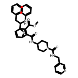 COC(=O)C1=C(C(=O)NC2CCN(C(=O)NCc3cccnc3)CC2)C2C=CC1(C(Cc1ccccc1)Nc1ccccc1)O2